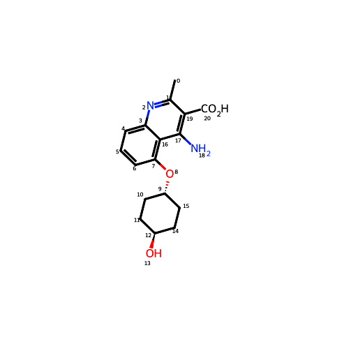 Cc1nc2cccc(O[C@H]3CC[C@H](O)CC3)c2c(N)c1C(=O)O